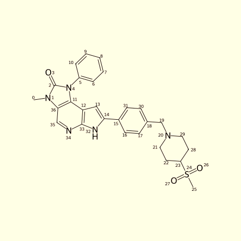 Cn1c(=O)n(-c2ccccc2)c2c3cc(-c4ccc(CN5CCC(S(C)(=O)=O)CC5)cc4)[nH]c3ncc21